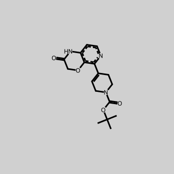 CC(C)(C)OC(=O)N1CC=C(c2nccc3c2OCC(=O)N3)CC1